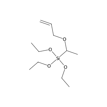 C=CCOC(C)[Si](OCC)(OCC)OCC